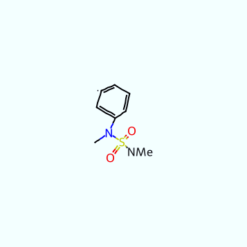 CNS(=O)(=O)N(C)c1c[c]ccc1